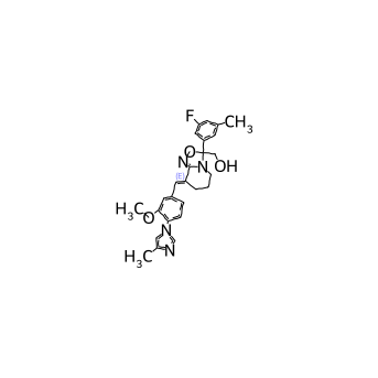 COc1cc(/C=C2\CCCN3C2=NOC3(CO)c2cc(C)cc(F)c2)ccc1-n1cnc(C)c1